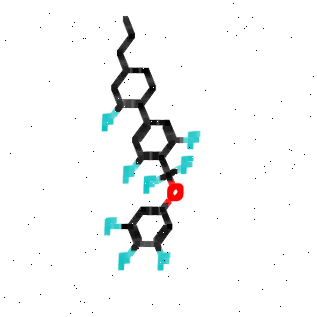 CCCC1CCC(c2cc(F)c(C(F)(F)Oc3cc(F)c(F)c(F)c3)c(F)c2)=C(F)C1